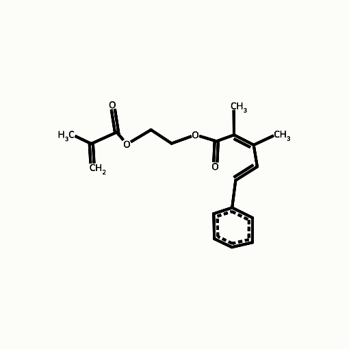 C=C(C)C(=O)OCCOC(=O)C(C)=C(C)C=Cc1ccccc1